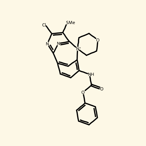 CSc1c(Cl)nc2nc1[N+]1(CCOCC1)c1cc-2ccc1NC(=O)Oc1ccccc1